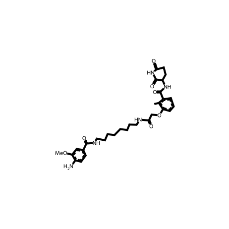 COc1cc(C(=O)NCCCCCCCCNC(=O)COc2cccc(C(=O)NC3CCC(=O)NC3=O)c2C)ccc1N